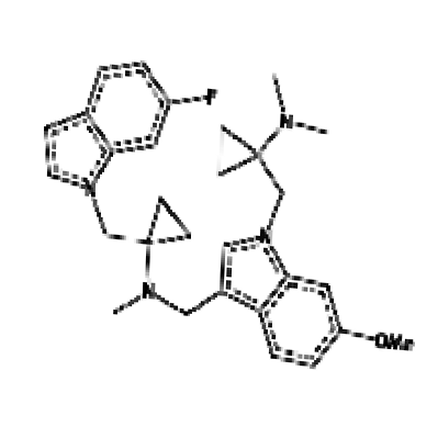 COc1ccc2c(CN(C)C3(Cn4ccc5ccc(F)cc54)CC3)cn(CC3(N(C)C)CC3)c2c1